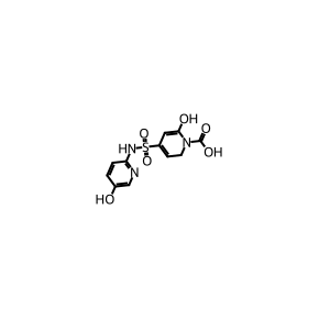 O=C(O)N1CC=C(S(=O)(=O)Nc2ccc(O)cn2)C=C1O